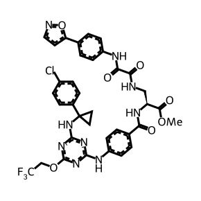 COC(=O)[C@H](CNC(=O)C(=O)Nc1ccc(-c2ccno2)cc1)NC(=O)c1ccc(Nc2nc(NC3(c4ccc(Cl)cc4)CC3)nc(OCC(F)(F)F)n2)cc1